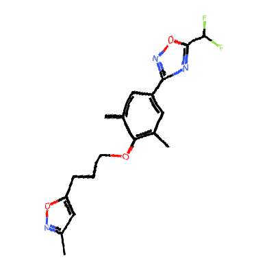 Cc1cc(CCCOc2c(C)cc(-c3noc(C(F)F)n3)cc2C)on1